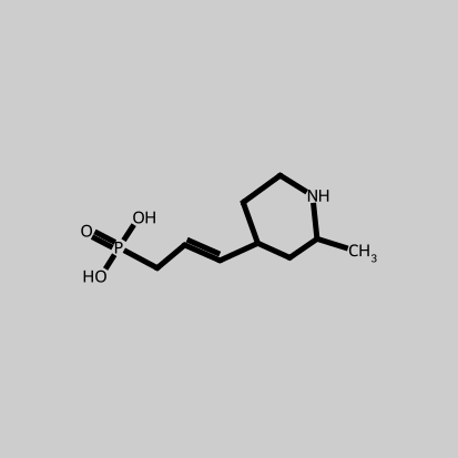 CC1CC(C=CCP(=O)(O)O)CCN1